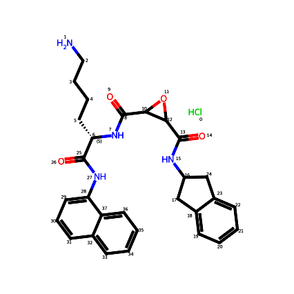 Cl.NCCCC[C@H](NC(=O)C1OC1C(=O)NC1Cc2ccccc2C1)C(=O)Nc1cccc2ccccc12